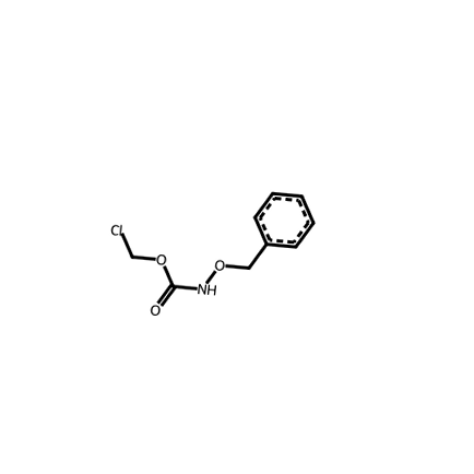 O=C(NOCc1ccccc1)OCCl